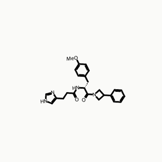 COc1ccc(C[C@@H](NC(=O)CCc2c[nH]cn2)C(=O)N2CC(c3ccccc3)C2)cc1